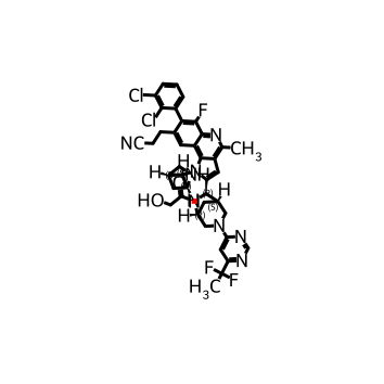 Cc1nc2c(F)c(-c3cccc(Cl)c3Cl)c(CCC#N)cc2c2c1cc([C@H]1[C@H]3C[C@H](CN(c4cc(C(C)(F)F)ncn4)C3)N1C(=O)CO)n2[C@H]1[C@H]2CN[C@@H]1C2